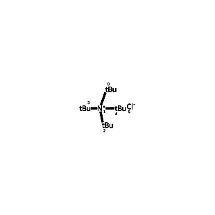 CC(C)(C)[N+](C(C)(C)C)(C(C)(C)C)C(C)(C)C.[Cl-]